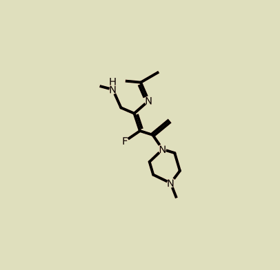 C=C(/C(F)=C(/CNC)N=C(C)C)N1CCN(C)CC1